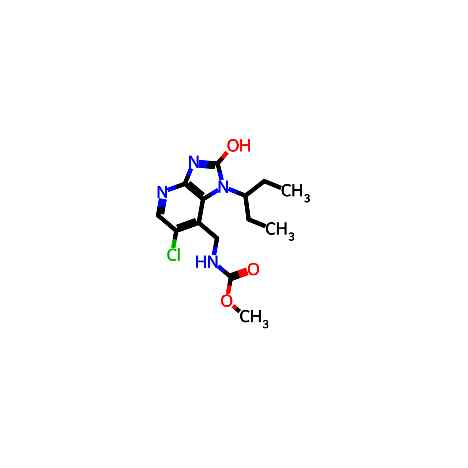 CCC(CC)n1c(O)nc2ncc(Cl)c(CNC(=O)OC)c21